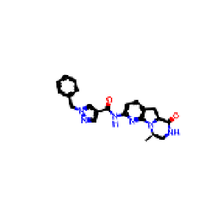 C[C@@H]1CNC(=O)C2Cc3ccc(NC(=O)c4cnn(Cc5ccccc5)c4)nc3N21